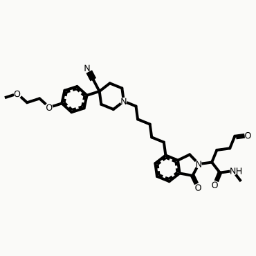 CNC(=O)C(CCC=O)N1Cc2c(CCCCCN3CCC(C#N)(c4ccc(OCCOC)cc4)CC3)cccc2C1=O